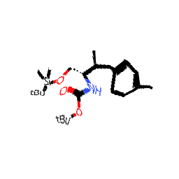 Cc1ccc([C@H](C)[C@@H](CO[Si](C)(C)C(C)(C)C)NC(=O)OC(C)(C)C)cc1